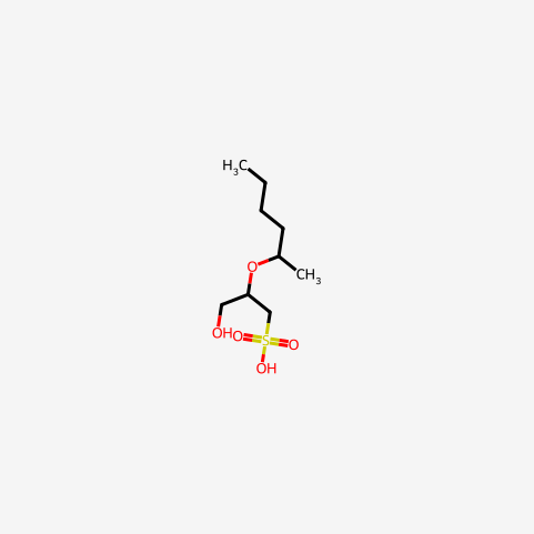 CCCCC(C)OC(CO)CS(=O)(=O)O